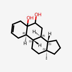 C[C@@]12CCC[C@H]1[C@@H]1CC(O)C3(O)CC=CC[C@@H]3[C@H]1CC2